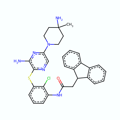 CC1(N)CCN(c2cnc(Sc3cccc(NC(=O)CC4c5ccccc5-c5ccccc54)c3Cl)c(N)n2)CC1